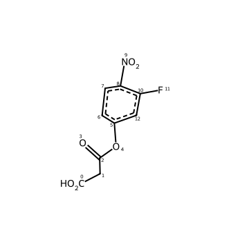 O=C(O)CC(=O)Oc1ccc([N+](=O)[O-])c(F)c1